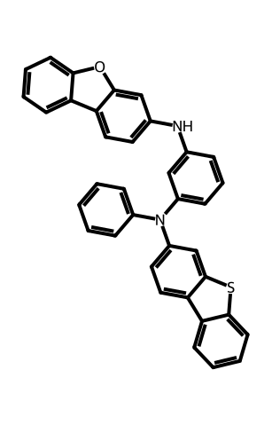 c1ccc(N(c2cccc(Nc3ccc4c(c3)oc3ccccc34)c2)c2ccc3c(c2)sc2ccccc23)cc1